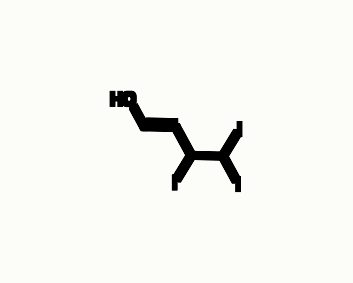 OC=CC(I)C(I)I